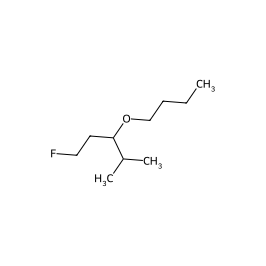 CCCCOC(CCF)C(C)C